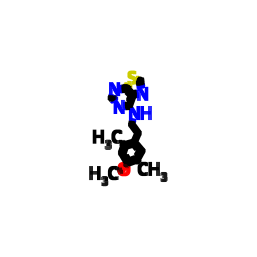 COc1cc(C)c(CCNc2ncnc3scnc23)cc1C